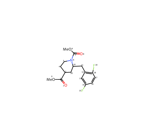 COC(=O)C1CCN(C(=O)OC)C(Cc2cc(F)ccc2F)C1